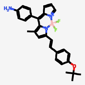 Cc1cc(/C=C/c2ccc(OC(C)(C)C)cc2)n2c1C(c1ccc(N)cc1)=C1C=CC=[N+]1[B-]2(F)F